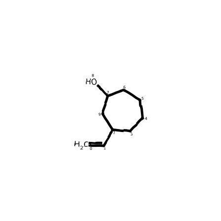 C=CC1CCCCC(O)C1